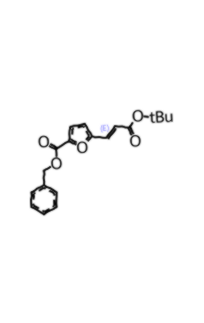 CC(C)(C)OC(=O)/C=C/c1ccc(C(=O)OCc2ccccc2)o1